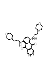 O=C1c2cnncc2C(=O)c2c(NCCN3CCOCC3)ccc(NCCN3CCOCC3)c21